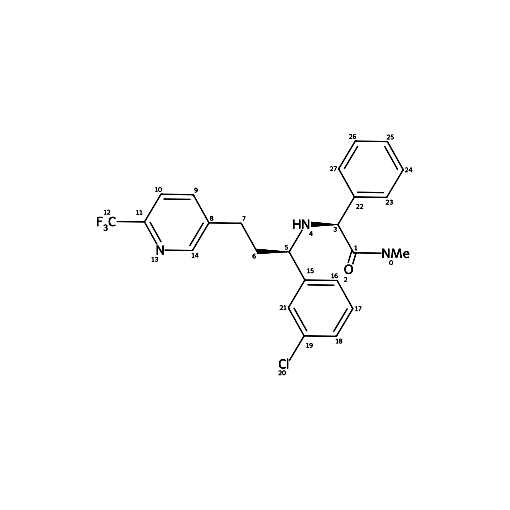 CNC(=O)[C@@H](N[C@H](CCc1ccc(C(F)(F)F)nc1)c1cccc(Cl)c1)c1ccccc1